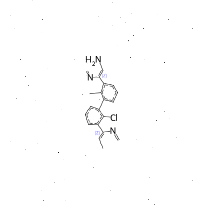 C=N/C(=C\N)c1cccc(-c2cccc(/C(=C/C)N=C)c2Cl)c1C